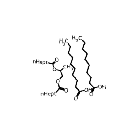 CCCCCCCC(=O)OCC(C)OC(=O)CCCCCCC.CCCCCCCCCC(=O)O.CCCCCCCCCC(=O)O